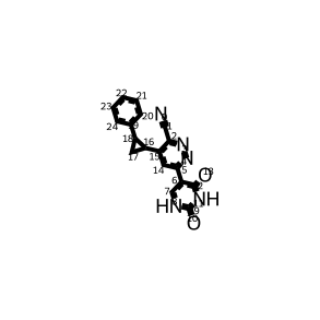 N#Cc1nnc(-c2c[nH]c(=O)[nH]c2=O)cc1C1CC1c1ccccc1